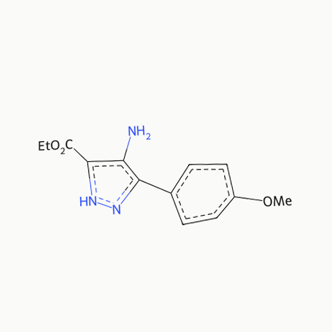 CCOC(=O)c1[nH]nc(-c2ccc(OC)cc2)c1N